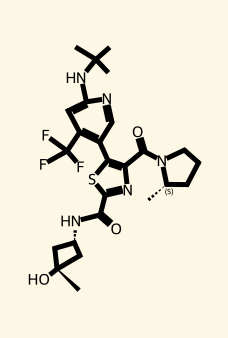 C[C@H]1CCCN1C(=O)c1nc(C(=O)N[C@H]2C[C@@](C)(O)C2)sc1-c1cnc(NC(C)(C)C)cc1C(F)(F)F